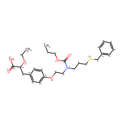 CCCOC(=O)N(CCCSCc1ccccc1)CCOc1ccc(CC(OCC)C(=O)O)cc1